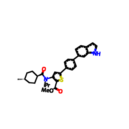 COC(=O)c1sc(-c2ccc(-c3ccc4cc[nH]c4c3)cc2)cc1N(C(=O)[C@H]1CC[C@H](C)CC1)C(C)C